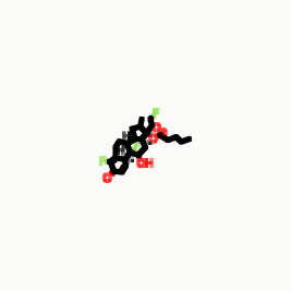 CCCCC(=O)O[C@]1(C(=O)CF)C(C)C[C@H]2[C@@H]3CCC4=C(F)C(=O)C=C[C@]4(C)[C@@]3(F)C(O)C[C@@]21C